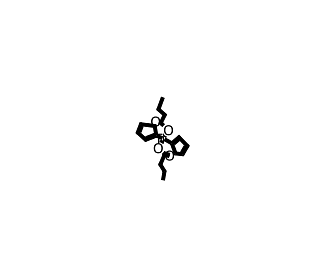 CCCC(=O)[O][Ti]([O]C(=O)CCC)([C]1=CC=CC1)[C]1=CC=CC1